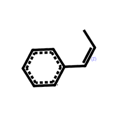 C/C=C\c1[c]cccc1